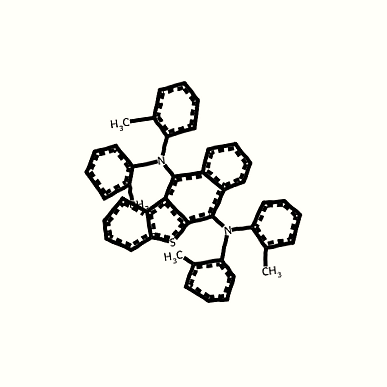 Cc1ccccc1N(c1ccccc1C)c1c2ccccc2c(N(c2ccccc2C)c2ccccc2C)c2c1sc1ccccc12